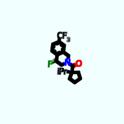 CC(C)C1(C(=O)N2Cc3cc(C(F)(F)F)ccc3[C@@H](F)C2)CCCC1